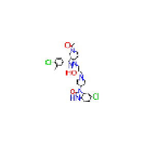 CC(=O)N1CCc2c(c(-c3ccc(Cl)c(C)c3)nn2C[C@@H](O)CN2CCC(n3c(=O)[nH]c4ccc(Cl)cc43)CC2)C1